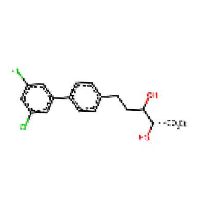 CCOC(=O)[C@H](O)C(O)CCc1ccc(-c2cc(Cl)cc(Cl)c2)cc1